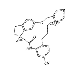 CCOC(=O)CCCc1ccc(C#N)cc1NC(=O)C1=C[C@]12CCc1ccc(OCc3ccccc3)cc12